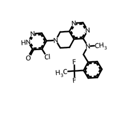 CN(Cc1ccccc1C(C)(F)F)c1ncnc2c1CCN(c1cn[nH]c(=O)c1Cl)C2